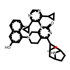 O=c1nc(C2C3C4CCC(C[C@H]23)N4)c2c(n1-c1c(C3CC3)ncnc1C1CC1)CN(c1cc(O)cc3cccc(Cl)c13)CC2